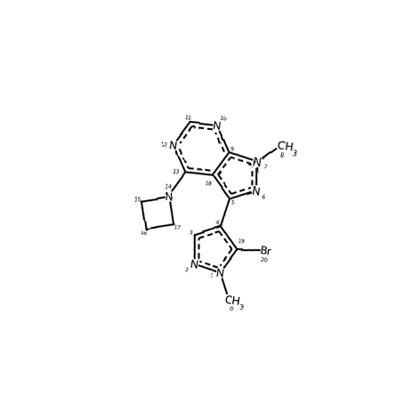 Cn1ncc(-c2nn(C)c3ncnc(N4CCC4)c23)c1Br